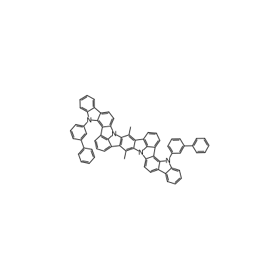 Cc1c2c3cccc4c5c6c(ccc5n(c2c(C)c2c5cccc7c8c9c(ccc8n(c12)c57)c1ccccc1n9-c1cccc(-c2ccccc2)c1)c34)c1ccccc1n6-c1cccc(-c2ccccc2)c1